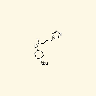 CC(CCCn1ccnc1)OC1CCC(C(C)(C)C)CC1